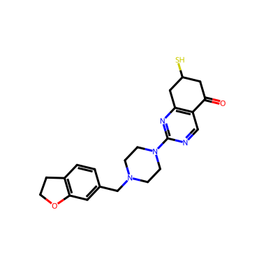 O=C1CC(S)Cc2nc(N3CCN(Cc4ccc5c(c4)OCC5)CC3)ncc21